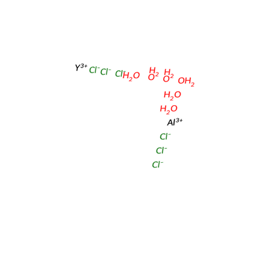 O.O.O.O.O.O.[Al+3].[Cl-].[Cl-].[Cl-].[Cl-].[Cl-].[Cl-].[Y+3]